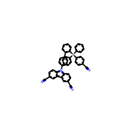 N#Cc1ccc([Si](c2ccccc2)(c2ccccc2)c2ccccc2-c2ccc(-n3c4ccc(C#N)cc4c4cc(C#N)ccc43)cc2)cc1